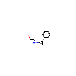 OCCN[C@@H]1C[C@H]1c1ccccc1